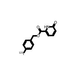 O=C(OCc1ccc([123I])cc1)c1cccc(=O)[nH]1